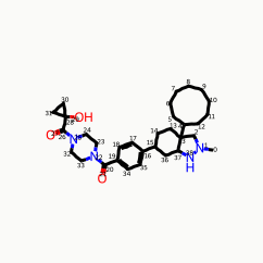 CN1CC2(C3CCCCCCCC3)CCC(c3ccc(C(=O)N4CCN(C(=O)C5(O)CC5)CC4)cc3)CC2N1